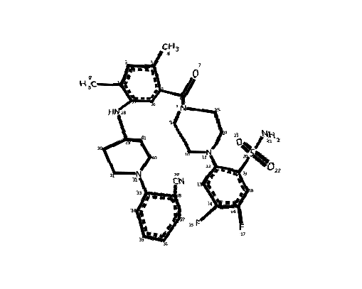 Cc1cc(C)c(C(=O)N2CCN(c3cc(F)c(F)cc3S(N)(=O)=O)CC2)cc1NC1CCN(c2ccccc2C#N)CC1